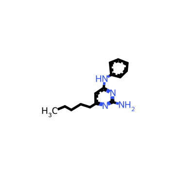 CCCCCc1cc(Nc2ccccc2)nc(N)n1